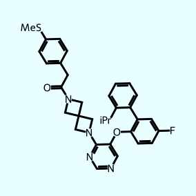 CSc1ccc(CC(=O)N2CC3(C2)CN(c2ncncc2Oc2ccc(F)cc2-c2ccccc2C(C)C)C3)cc1